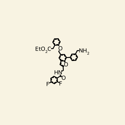 CCOC(=O)Cc1ccccc1OCc1cc(-c2cccc(CN)c2)c2oc(CNC(=O)c3ccc(F)cc3F)cc2c1